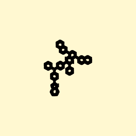 c1ccc(-c2nc3c(-c4ccc5ccccc5c4)ccc(-c4ccc5ccccc5c4)c3nc2-c2ccc(N(c3ccccc3)c3ccc(-c4cn5ccccc5n4)cc3)cc2)cc1